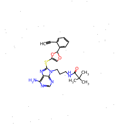 C#Cc1ccccc1C1OC=C(Sc2nc3c(N)ncnc3n2CCCNC(=O)C(C)(C)C)O1